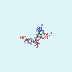 COCOc1cc2c(ncn2C)c(CCC[C@@H]2OC(C)(C)O[C@@H]2C(O)/C=C\[C@@H](C)C(C)O)c1C(=O)O